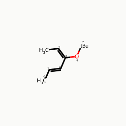 CC=CC(=CC)OC(C)(C)C